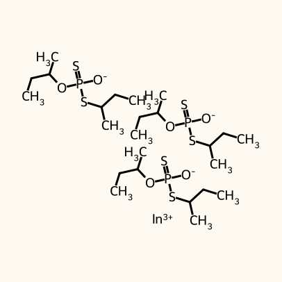 CCC(C)OP([O-])(=S)SC(C)CC.CCC(C)OP([O-])(=S)SC(C)CC.CCC(C)OP([O-])(=S)SC(C)CC.[In+3]